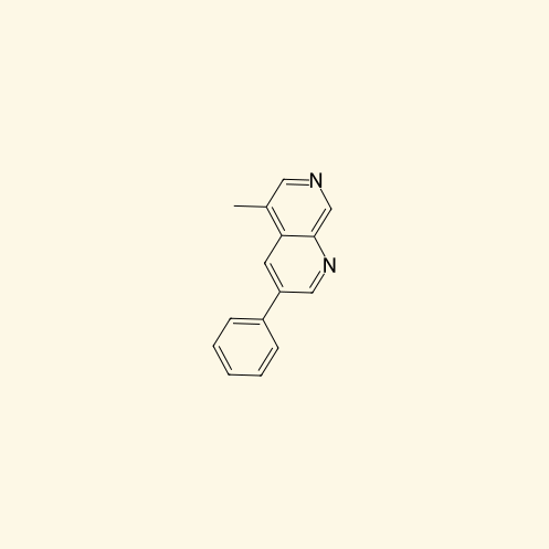 Cc1cncc2ncc(-c3ccccc3)cc12